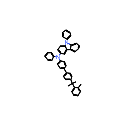 Cc1ccccc1C(C)(C)c1ccc(-c2ccc(N(c3ccccc3)c3ccc4c(c3)c3ccccc3n4-c3ccccc3)cc2)cc1